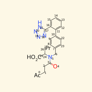 CC(=O)CCC(=O)N(Cc1ccc(-c2ccccc2-c2nnn[nH]2)cc1)C(C(=O)O)C(C)C